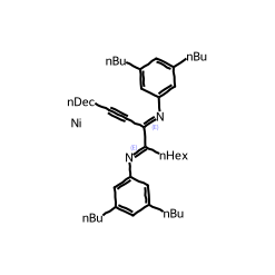 CCCCCCCCCCC#CC(=N\c1cc(CCCC)cc(CCCC)c1)/C(CCCCCC)=N/c1cc(CCCC)cc(CCCC)c1.[Ni]